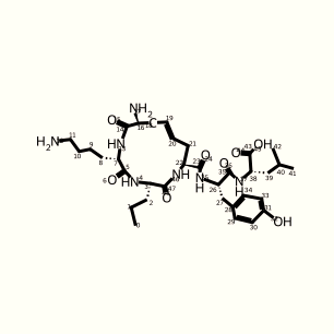 CCC[C@@H]1NC(=O)[C@H](CCCCN)NC(=O)[C@@H](N)C/C=C/C[C@@H](C(=O)N[C@@H](Cc2ccc(O)cc2)C(=O)N[C@@H](CC(C)C)C(=O)O)NC1=O